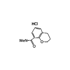 CNC(=O)c1cccc2c1OCCC2.Cl